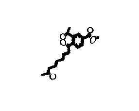 COC(=O)c1ccc(C(=O)CCCCCCC(C)=O)c(C(C)=O)c1